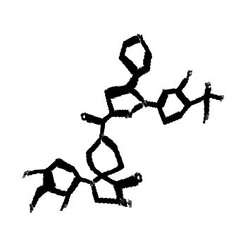 O=C(c1cc(-c2ccncc2)n(-c2ccc(C(F)(F)F)c(F)c2)n1)N1CCC2(CC1)C(=O)NCN2c1ccc(F)c(F)c1F